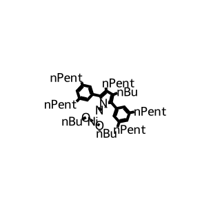 CCCCCC1=C(c2cc(CCCCC)cc(CCCCC)c2)[N+](=[N-])C(c2cc(CCCCC)cc(CCCCC)c2)=C1CCCC.CCCC[O][Ni][O]CCCC